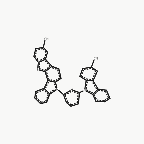 N#Cc1ccc2sc3c(ccc4c3c3ccccc3n4-c3cccc(-n4c5ccccc5c5cc(C#N)ccc54)n3)c2c1